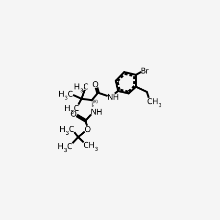 CCc1cc(NC(=O)[C@H](NC(=O)OC(C)(C)C)C(C)(C)C)ccc1Br